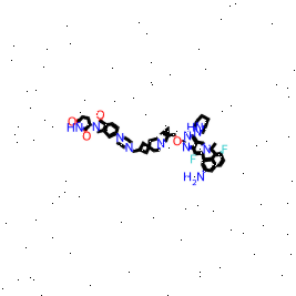 CCc1c(F)ccc2cc(N)cc(-c3ncc4c(N5CC6CCC(C5)N6)nc(OCC5(CN6CCC7(CC6)CC(CN6CCN(c8ccc9c(c8)CN([C@H]8CCC(=O)NC8=O)C9=O)CC6)C7)CC5)nc4c3F)c12